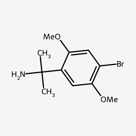 COc1cc(C(C)(C)N)c(OC)cc1Br